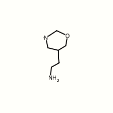 NCCC1C[N]COC1